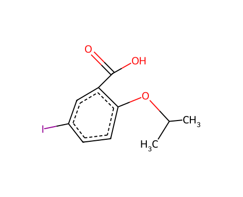 CC(C)Oc1ccc(I)cc1C(=O)O